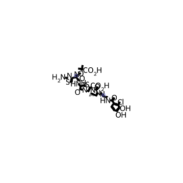 C[C@H]1CN(/N=C/CNC(=O)c2ccc(O)c(O)c2Cl)C(=O)N1[C@]1(C(=O)O)CN2C(=O)C(NC(=O)/C(=N\OC(C)(C)C(=O)O)c3csc(N)n3)[C@H]2S1